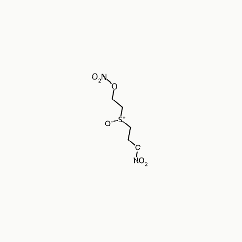 O=[N+]([O-])OCC[S+]([O-])CCO[N+](=O)[O-]